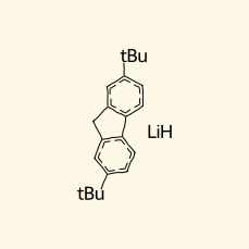 CC(C)(C)c1ccc2c(c1)Cc1cc(C(C)(C)C)ccc1-2.[LiH]